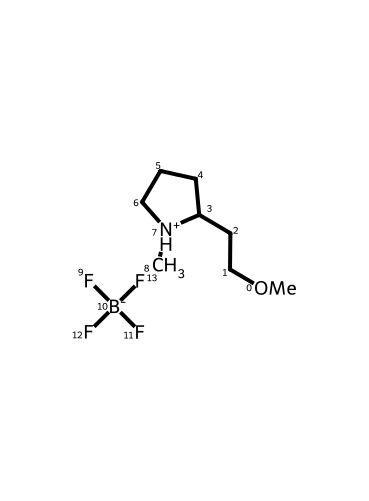 COCCC1CCC[NH+]1C.F[B-](F)(F)F